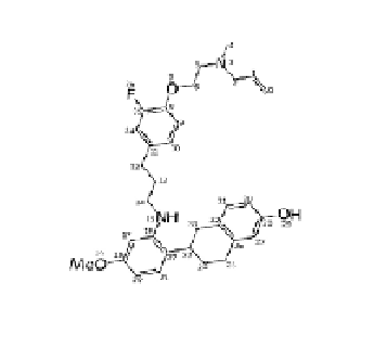 C=CCN(C)CCOc1ccc(CCCNc2cc(OC)ccc2C2CCc3cc(O)ccc3C2)cc1F